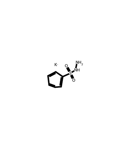 NNS(=O)(=O)c1ccccc1.[K]